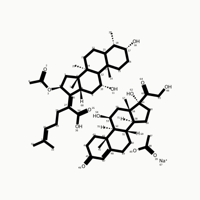 CC(=O)O[C@H]1C[C@@]2(C)[C@H](C[C@@H](O)C3[C@@]4(C)CC[C@@H](O)[C@@H](C)C4CC[C@@]32C)C1=C(CCC=C(C)C)C(=O)O.CC(=O)[O-].C[C@]12CCC(=O)C=C1CC[C@@H]1[C@@H]2[C@@H](O)C[C@@]2(C)[C@H]1CC[C@]2(O)C(=O)CO.[Na+]